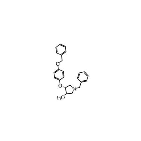 O[C@@H]1CN(Cc2ccccc2)C[C@H]1Oc1ccc(OCc2ccccc2)cc1